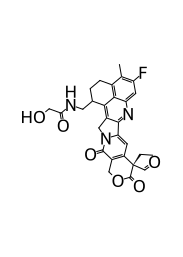 CC[C@@]1(C=O)C(=O)OCc2c1cc1n(c2=O)Cc2c-1nc1cc(F)c(C)c3c1c2C(CNC(=O)CO)CC3